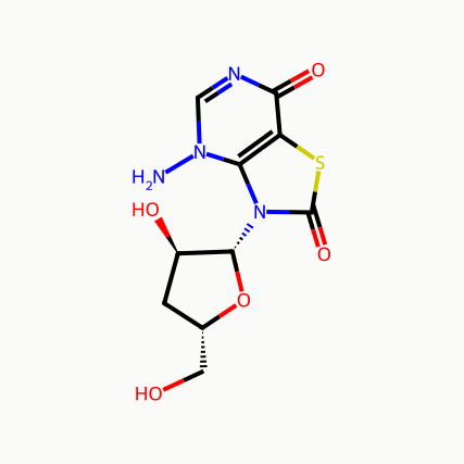 Nn1cnc(=O)c2sc(=O)n([C@@H]3O[C@H](CO)C[C@H]3O)c21